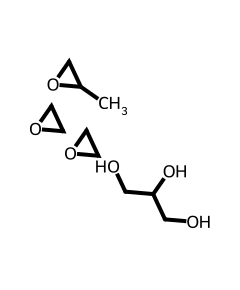 C1CO1.C1CO1.CC1CO1.OCC(O)CO